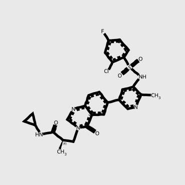 Cc1ncc(-c2ccc3ncn(C[C@@H](C)C(=O)NC4CC4)c(=O)c3c2)cc1NS(=O)(=O)c1ccc(F)cc1Cl